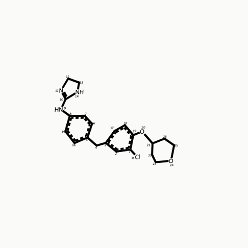 Clc1cc(Cc2ccc(NC3=NCCN3)cc2)ccc1OC1CCOCC1